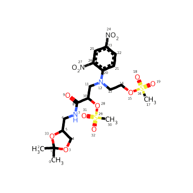 CC1(C)OCC(CNC(=O)C(CN(CCOS(C)(=O)=O)c2ccc([N+](=O)[O-])cc2[N+](=O)[O-])OS(C)(=O)=O)O1